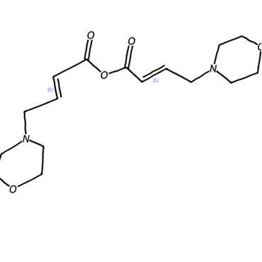 O=C(/C=C/CN1CCOCC1)OC(=O)/C=C/CN1CCOCC1